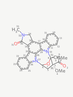 COC(=O)[C@@]1(OC)CC2O[C@]1(C)n1c3ccccc3c3c4c(c5c6ccccc6n2c5c31)C(=O)N(C)C4